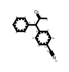 CC(=O)C(c1ccccc1)c1ccc(C#N)cc1